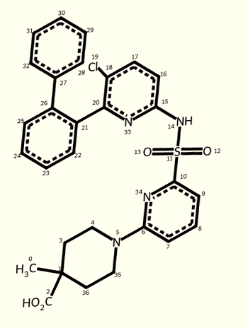 CC1(C(=O)O)CCN(c2cccc(S(=O)(=O)Nc3ccc(Cl)c(-c4ccccc4-c4ccccc4)n3)n2)CC1